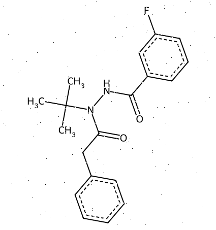 CC(C)(C)N(NC(=O)c1cccc(F)c1)C(=O)Cc1ccccc1